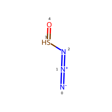 [N-]=[N+]=N[SH]=O